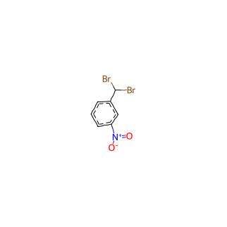 O=[N+]([O-])c1cccc(C(Br)Br)c1